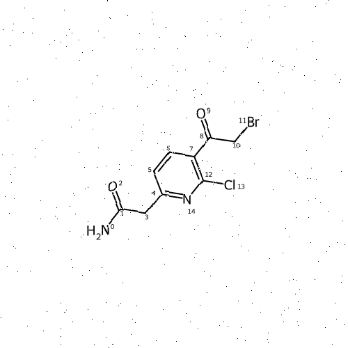 NC(=O)Cc1ccc(C(=O)CBr)c(Cl)n1